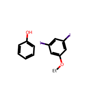 CCOc1cc(I)cc(I)c1.Oc1ccccc1